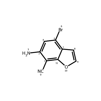 N#Cc1c(N)cc(Br)c2ccoc12